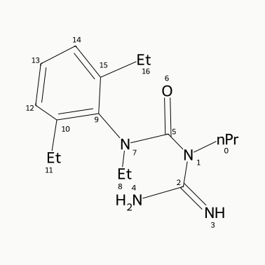 CCCN(C(=N)N)C(=O)N(CC)c1c(CC)cccc1CC